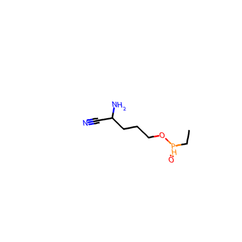 CC[PH](=O)OCCCC(N)C#N